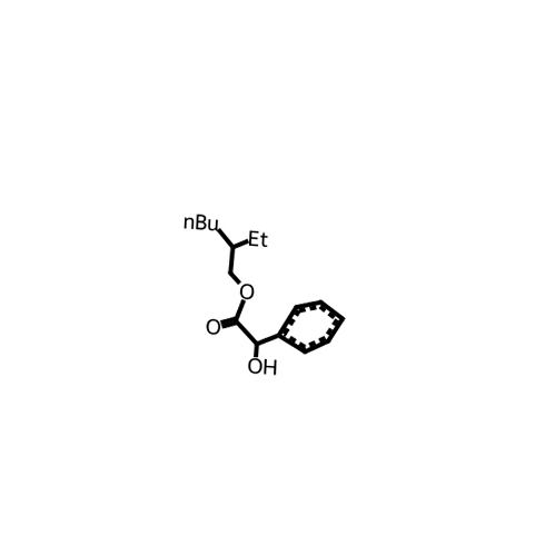 CCCCC(CC)COC(=O)C(O)c1ccccc1